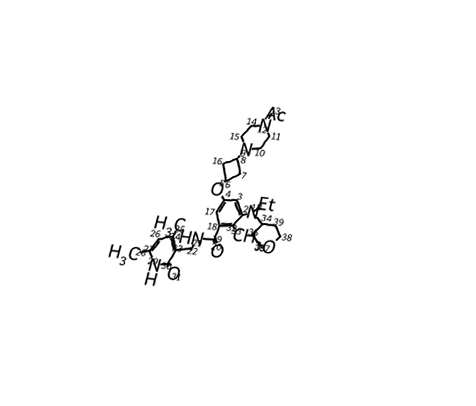 CCN(c1cc(O[C@H]2C[C@H](N3CCN(C(C)=O)CC3)C2)cc(C(=O)NCc2c(C)cc(C)[nH]c2=O)c1C)C1CCOCC1